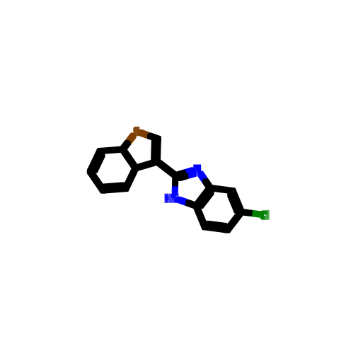 Clc1ccc2[nH]c(C3=CSC4C=CC=CC34)nc2c1